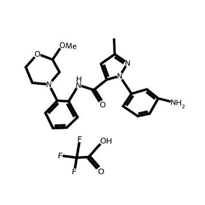 COC1CN(c2ccccc2NC(=O)c2cc(C)nn2-c2cccc(N)c2)CCO1.O=C(O)C(F)(F)F